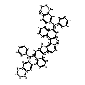 c1ccc(N(c2ccc3c(c2)OCCO3)c2cc3oc4c(ccc5oc6cc(N(c7ccccc7)c7ccc8c(c7)OCCO8)c7ccccc7c6c54)c3c3ccccc23)cc1